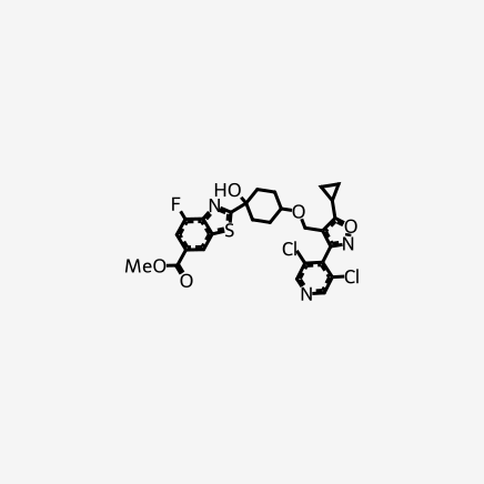 COC(=O)c1cc(F)c2nc(C3(O)CCC(OCc4c(-c5c(Cl)cncc5Cl)noc4C4CC4)CC3)sc2c1